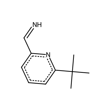 CC(C)(C)c1cccc(C=N)n1